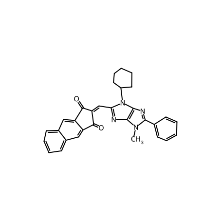 Cn1c(-c2ccccc2)nc2c1nc(C=C1C(=O)c3cc4ccccc4cc3C1=O)n2C1CCCCC1